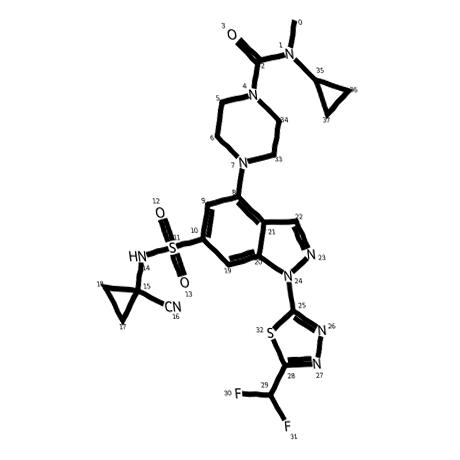 CN(C(=O)N1CCN(c2cc(S(=O)(=O)NC3(C#N)CC3)cc3c2cnn3-c2nnc(C(F)F)s2)CC1)C1CC1